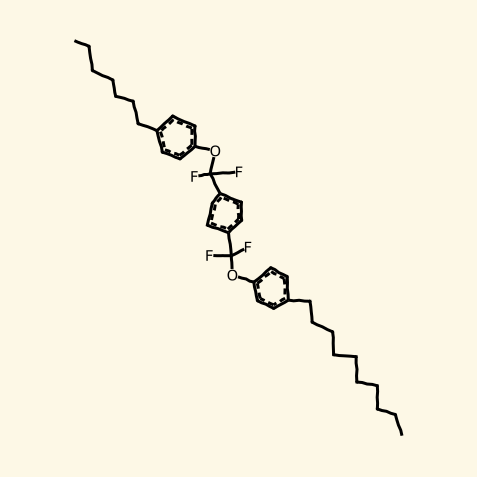 CCCCCCCCCCc1ccc(OC(F)(F)c2ccc(C(F)(F)Oc3ccc(CCCCCCC)cc3)cc2)cc1